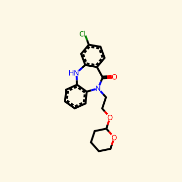 O=C1c2ccc(Cl)cc2Nc2ccccc2N1CCOC1CCCCO1